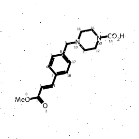 COC(=O)C=Cc1ccc(CN2CCN(C(=O)O)CC2)cc1